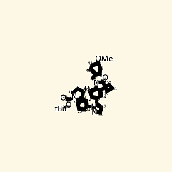 COc1ccc(CN2C(=O)C3(CCC3)c3cc(-c4ccnn4-c4ccccc4)cc(OC4CCN(C(=O)OC(C)(C)C)CC4)c32)cc1